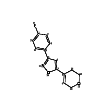 Fc1ccc(-c2cc(C3=CCOCC3)on2)cc1